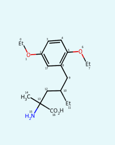 CCOc1ccc(OCC)c(CC(CC)CC(C)(N)C(=O)O)c1